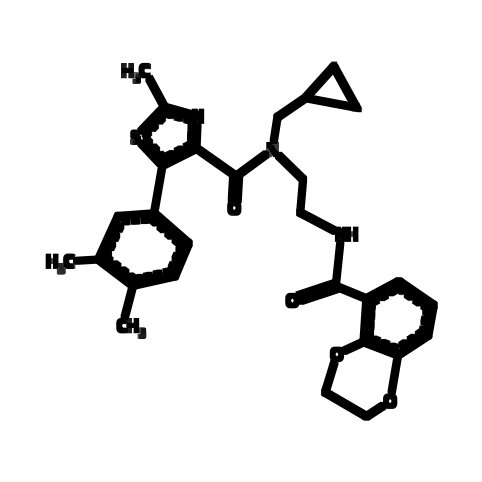 Cc1nc(C(=O)N(CCNC(=O)c2cccc3c2OCCO3)CC2CC2)c(-c2ccc(C)c(C)c2)s1